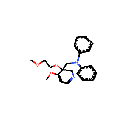 COCCOC1(CN(c2ccccc2)c2ccccc2)CN=CC=C1OC